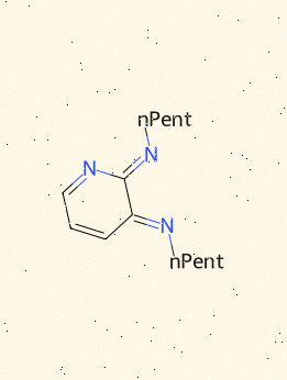 CCCCCN=C1C=CC=NC1=NCCCCC